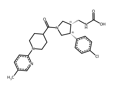 Cc1ccc(N2CCC(C(=O)N3C[C@H](CNC(=O)O)[C@H](c4ccc(Cl)cc4)C3)CC2)nc1